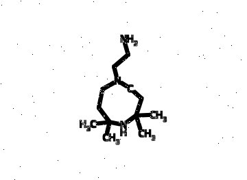 CC1(C)CCN(CCN)CCC(C)(C)N1